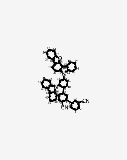 N#Cc1cccc(-c2cc(-c3ccc(-n4c5ccccc5c5c6oc7ccccc7c6ccc54)cc3-n3c4ccccc4c4ccccc43)ccc2C#N)c1